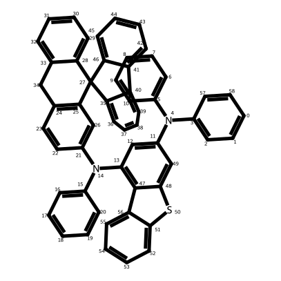 c1ccc(N(c2ccccc2)c2cc(N(c3ccccc3)c3ccc4c(c3)C3(c5ccccc5C4)c4ccccc4-c4ccccc43)c3c(c2)sc2ccccc23)cc1